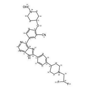 N#Cc1cc(-c2ncnc3[nH]c(-c4ccc(C5CCN(CC(F)F)CC5)cc4)nc23)ccc1OC1CCN(C=O)CC1